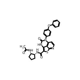 CC(=O)N[C@H]1CCC[C@H]1NC(=O)c1sc2nccc3c2c1NC(=O)N3c1ccc(Oc2ccccc2)cc1